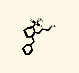 CCCCc1c(Cc2ccccc2)cccc1S(N)(=O)=O